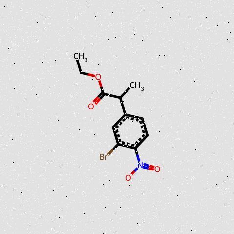 CCOC(=O)C(C)c1ccc([N+](=O)[O-])c(Br)c1